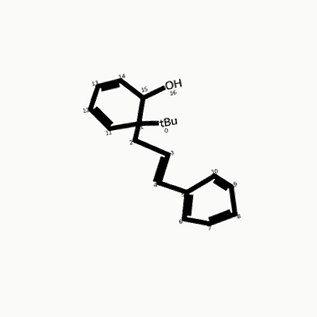 CC(C)(C)C1(C/C=C/c2ccccc2)C=CC=CC1O